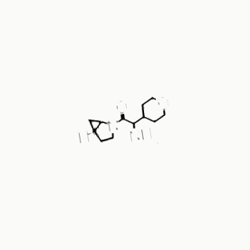 NC(C(=O)N1CC[C@@H]2CC21)C1CCOCC1